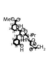 C=CS(=O)(=O)CC(=O)N[C@H](C(=O)N[C@@H](Cc1cccc(O)c1)C(=O)N1CCCC(C(=O)OC)N1)C(C)C